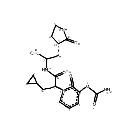 NC(=O)Oc1cccn(C(CC2CC2)C(=O)NC(C=O)C[C@@H]2CCNC2=O)c1=O